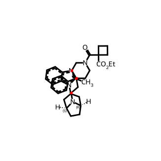 CCOC(=O)C1(C(=O)N2CCC(CCN3[C@@H]4CC[C@H]3CC(n3c(C)nc5ccccc53)C4)(c3ccccc3)CC2)CCC1